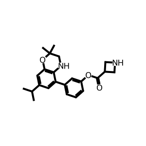 CC(C)c1cc2c(c(-c3cccc(OC(=O)C4CNC4)c3)c1)NCC(C)(C)O2